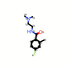 Cc1cc(F)ccc1C(=O)NCCN(C)C